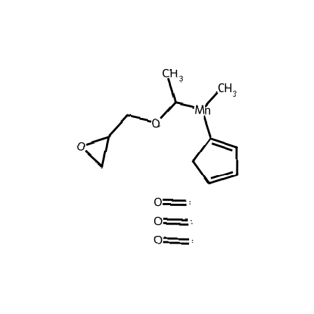 C[CH](OCC1CO1)[Mn]([CH3])[C]1=CC=CC1.[C]=O.[C]=O.[C]=O